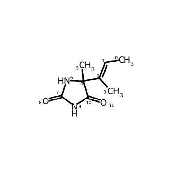 CC=C(C)C1(C)NC(=O)NC1=O